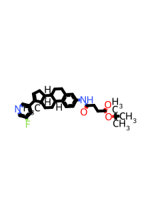 CC(C)(C)OC(=O)CCC(=O)Nc1ccc2c(c1)CC[C@@H]1[C@@H]2CC[C@]2(C)C(c3cncc(F)c3)=CC[C@@H]12